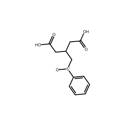 O=C(O)CC(CC(=O)O)C[S+]([O-])c1ccccc1